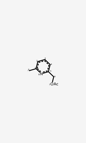 [CH2]c1cccc(COC(C)=O)n1